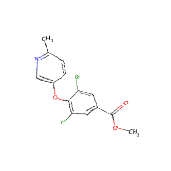 COC(=O)c1cc(F)c(Oc2ccc(C)nc2)c(Br)c1